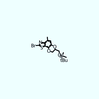 Cc1cc2c(c3sc(Br)nc13)OCC(CO[Si](C)(C)C(C)(C)C)O2